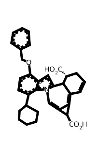 O=C(O)C1C2=Cn3c(cc4c(OCc5ccccc5)ccc(C5CCCCC5)c43)C3C(=C21)C=CC[C@H]3C(=O)O